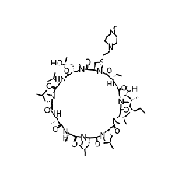 C/C=C/C[C@@H](C)[C@@H](O)[C@H]1C(=O)N[C@@H](CC)C(=O)N(C)[C@H](CSCCN2CCN(CC)CC2)C(=O)N(C)[C@@H](CC(C)(C)O)C(=O)N[C@@H](C(C)C)C(=O)N(C)[C@@H](CC(C)C)C(=O)N[C@@H](C)C(=O)N[C@H](C)C(=O)N(C)[C@@H](CC(C)C)C(=O)N(C)[C@@H](CC(C)C)C(=O)N(C)[C@@H](C(C)C)C(=O)N1C